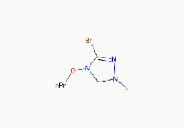 CCCON1CN(C)N=C1Br